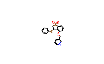 O=S1(=O)CC(Sc2ccccc2)c2c(OCc3cccnc3)cccc21